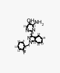 Nc1nc(-c2nn(Cc3ccccc3F)c3ccccc23)ncc1O